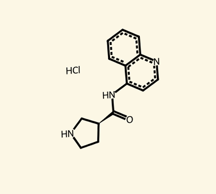 Cl.O=C(Nc1ccnc2ccccc12)[C@H]1CCNC1